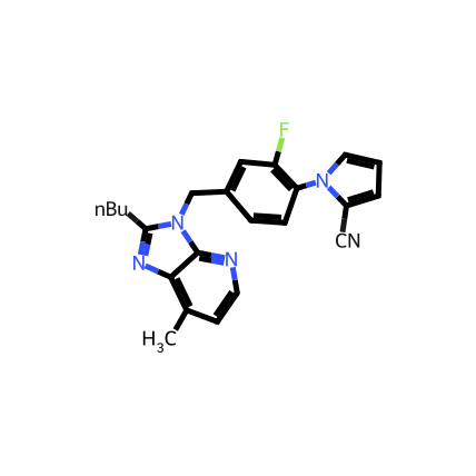 CCCCc1nc2c(C)ccnc2n1Cc1ccc(-n2cccc2C#N)c(F)c1